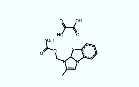 CCCCCCCCC(=O)OCN1C(C)=CN2c3ccccc3SC12.O=C(O)C(=O)O